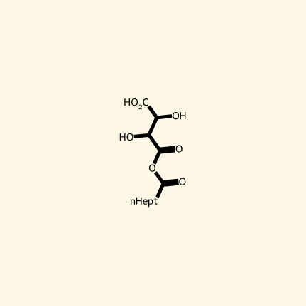 CCCCCCCC(=O)OC(=O)C(O)C(O)C(=O)O